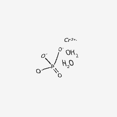 O.O.O=P([O-])([O-])[O-].[Cr+3]